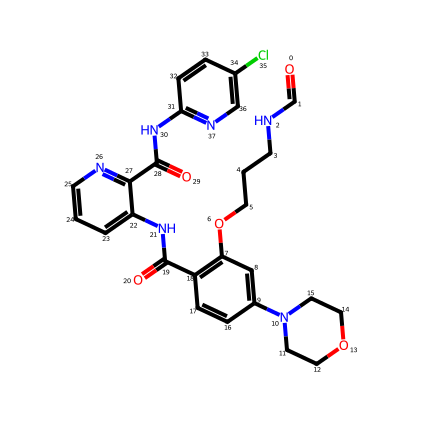 O=CNCCCOc1cc(N2CCOCC2)ccc1C(=O)Nc1cccnc1C(=O)Nc1ccc(Cl)cn1